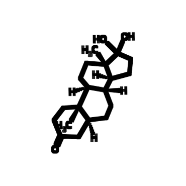 C[C@]12CCC(=O)C[C@@H]1CC[C@@H]1[C@@H]2CC[C@@]2(C)[C@H]1CCC2(O)O